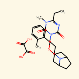 CCc1nc(=O)n(CCCN2C3CCC2CC(OCc2ccccc2C)C3)c(=O)n1C.O=C(O)C(=O)O